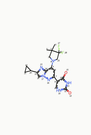 CC1(C)CN(c2cc(-c3c[nH]c(=O)[nH]c3=O)nn3cc(C4CC4)nc23)CC1(F)F